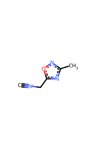 [C-]#[N+]Cc1nc(C)no1